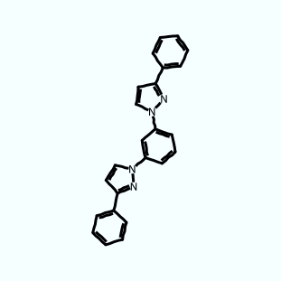 c1ccc(-c2ccn(-c3cccc(-n4ccc(-c5ccccc5)n4)c3)n2)cc1